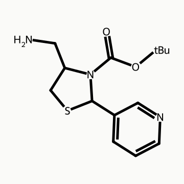 CC(C)(C)OC(=O)N1C(CN)CSC1c1cccnc1